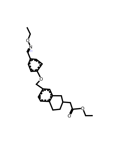 CCO/N=C/c1ccc(OCc2ccc3c(c2)CC(CC(=O)OCC)CC3)cc1